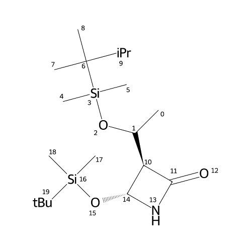 CC(O[Si](C)(C)C(C)(C)C(C)C)[C@H]1C(=O)N[C@@H]1O[Si](C)(C)C(C)(C)C